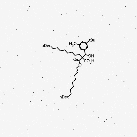 CCCCCCCCCCCCCCCCCCOC(=O)C(CCCCCCCCCCCCCCCCCC)(C(=O)O)C(O)c1cc(C)cc(C(C)(C)C)c1